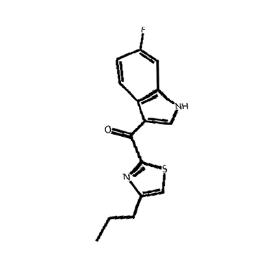 CCCc1csc(C(=O)c2c[nH]c3cc(F)ccc23)n1